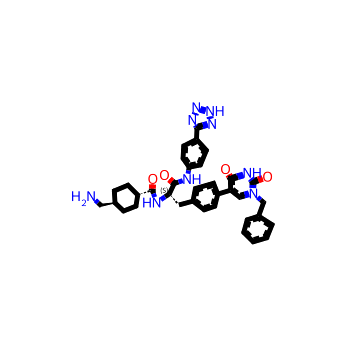 NC[C@H]1CC[C@H](C(=O)N[C@@H](Cc2ccc(-c3cn(Cc4ccccc4)c(=O)[nH]c3=O)cc2)C(=O)Nc2ccc(-c3nn[nH]n3)cc2)CC1